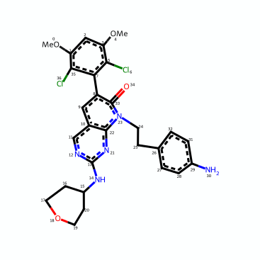 COc1cc(OC)c(Cl)c(-c2cc3cnc(NC4CCOCC4)nc3n(CCc3ccc(N)cc3)c2=O)c1Cl